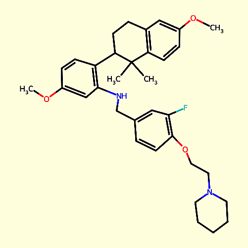 COc1ccc2c(c1)CCC(c1ccc(OC)cc1NCc1ccc(OCCN3CCCCC3)c(F)c1)C2(C)C